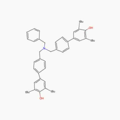 CC(C)(C)c1cc(-c2ccc(CN(Cc3ccccc3)Cc3ccc(-c4cc(C(C)(C)C)c(O)c(C(C)(C)C)c4)cc3)cc2)cc(C(C)(C)C)c1O